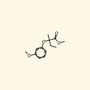 CCC(C)(Oc1cccc(OC)c1)C(=O)OC